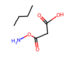 CCCC.NOC(=O)CC(=O)O